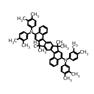 Cc1ccc(N(c2ccc(C)c(C)c2)c2cc3c(c4ccccc24)-c2cc4c(cc2C3(C)C)-c2c(cc(N(c3ccc(C)c(C)c3)c3ccc(C)c(C)c3)c3ccccc23)C4(C)C)cc1C